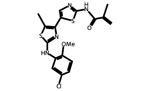 C=C(C)C(=O)Nc1ncc(-c2nc(Nc3cc(Cl)ccc3OC)sc2C)s1